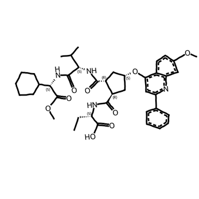 CC[C@H](NC(=O)[C@@H]1C[C@@H](Oc2cc(-c3ccccc3)nc3cc(OC)ccc23)C[C@H]1C(=O)N[C@H](C(=O)N[C@H](C(=O)OC)C1CCCCC1)C(C)C)C(=O)O